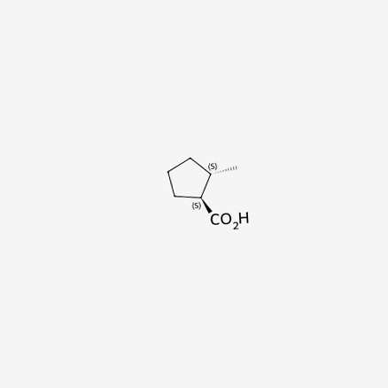 C[C@H]1CCC[C@@H]1C(=O)O